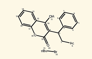 CC(=O)CC(c1ccccc1)c1c(O)c2ccccc2oc1=O.CCCCBr